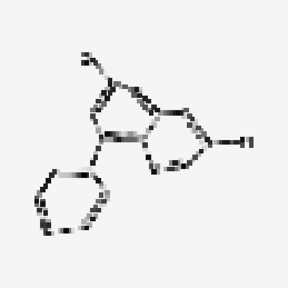 Clc1ccc2c(-c3ccccc3)cc(Cl)nc2n1